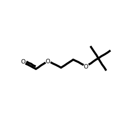 CC(C)(C)OCCOC=O